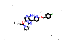 C=CC(=O)N1CCC[C@H]1c1nc(-c2ccc(OCc3ccc(F)cc3)nc2)c2c(N)nccn12